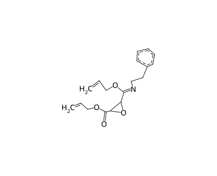 C=CCOC(=O)C1OC1C(=NCCc1ccccc1)OCC=C